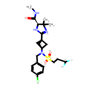 CNC(=O)[C@@H]1NC(C23CC(N(Cc4ccc(Cl)cc4)S(=O)(=O)CCC(F)F)(C2)C3)=NC1(C)C